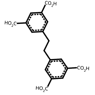 O=C(O)c1cc(CCc2cc(C(=O)O)cc(C(=O)O)c2)cc(C(=O)O)c1